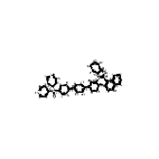 O=P(c1ccncc1)(c1ccncc1)c1ccc(-c2ccc(-c3ccc4c5ccc6ccccc6c5c5nc6ccccc6n5c4c3)cc2)cc1